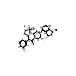 C[C@@H]1C[C@@H](O)c2ncnc(N3CCN(C(=O)C(c4cccc(Cl)c4)C4CCC(C)(C)N4)CC3)c21